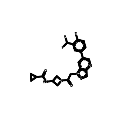 O=C(NC1CN(C(=O)Cn2ncc3ncc(-c4ccc(F)c(C(F)F)c4)cc32)C1)C1CC1